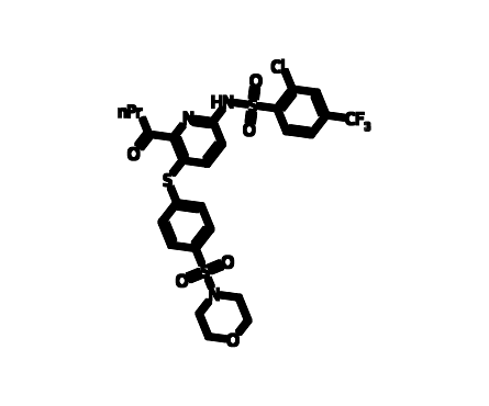 CCCC(=O)c1nc(NS(=O)(=O)c2ccc(C(F)(F)F)cc2Cl)ccc1Sc1ccc(S(=O)(=O)N2CCOCC2)cc1